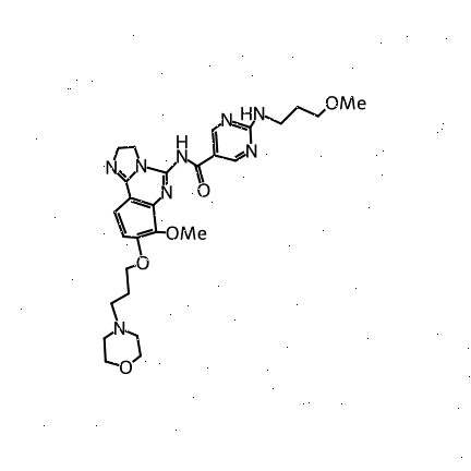 COCCCNc1ncc(C(=O)NC2=Nc3c(ccc(OCCCN4CCOCC4)c3OC)C3=NCCN23)cn1